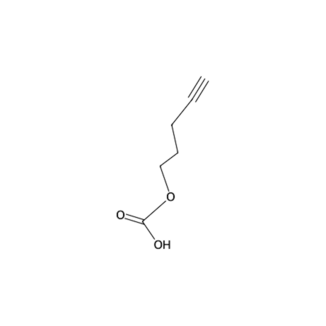 C#CCCCOC(=O)O